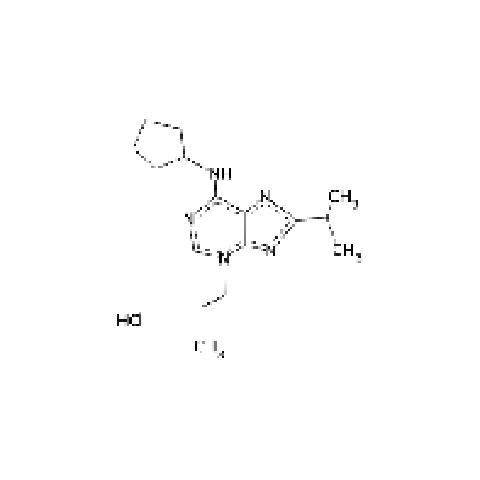 CCCn1cnc(NC2CCCC2)c2nc(C(C)C)nc1-2.Cl